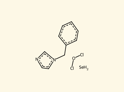 ClOCl.[SeH2].c1ccc(Cn2ccnc2)cc1